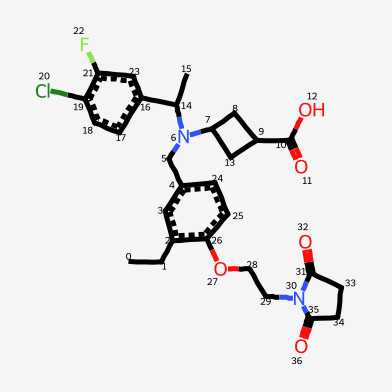 CCc1cc(CN(C2CC(C(=O)O)C2)C(C)c2ccc(Cl)c(F)c2)ccc1OCCN1C(=O)CCC1=O